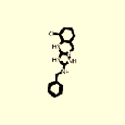 ClC1CCCC2CN3NC(NCc4ccccc4)NC3NC12